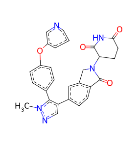 Cn1ncc(-c2ccc3c(c2)CN(C2CCC(=O)NC2=O)C3=O)c1-c1ccc(Oc2cccnc2)cc1